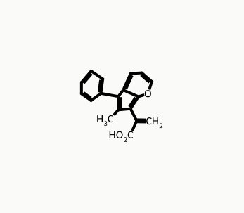 C=C(C(=O)O)c1c2occcc-2c(-c2ccccc2)c1C